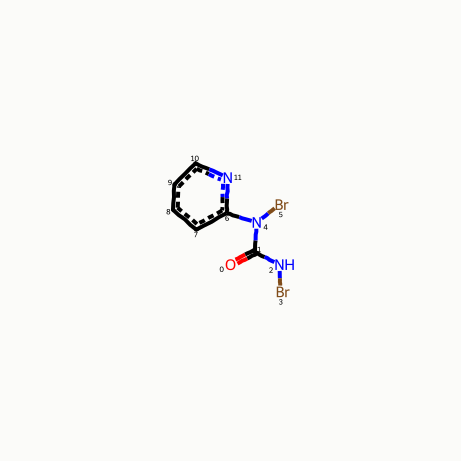 O=C(NBr)N(Br)c1ccccn1